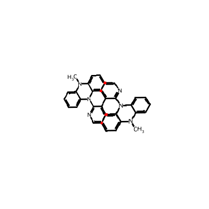 CN1c2ccccc2N(c2ncccc2-c2cccnc2N2c3ccccc3N(C)c3ccccc32)c2ccccc21